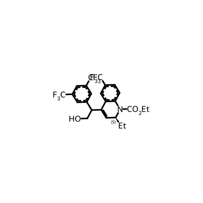 CCOC(=O)N1c2ccc(C(F)(F)F)cc2C(C(CO)c2cc(C(F)(F)F)cc(C(F)(F)F)c2)=C[C@@H]1CC